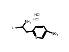 Cl.Cl.NC(N)Cc1ccc([N+](=O)[O-])cn1